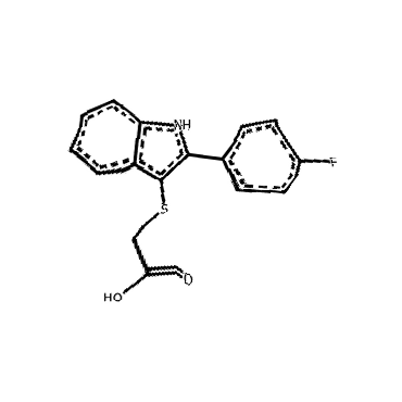 O=C(O)CSc1c(-c2ccc(F)cc2)[nH]c2ccccc12